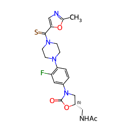 CC(=O)NC[C@H]1CN(c2ccc(N3CCN(C(=S)c4cnc(C)o4)CC3)c(F)c2)C(=O)O1